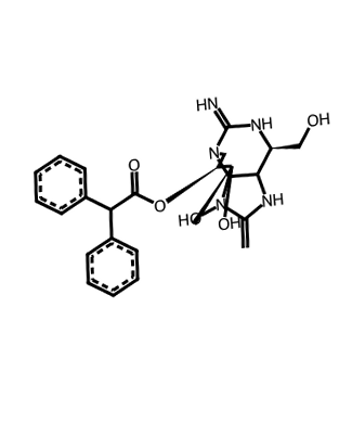 C=C1NC2[C@H](CO)NC(=N)N3C[C@H](OC(=O)C(c4ccccc4)c4ccccc4)[C@](C)(O)C23N1O